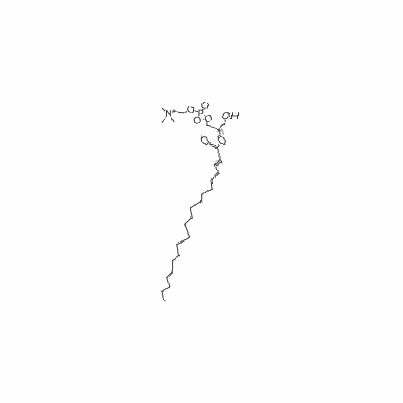 CCCCCCCCCCCCCCCCCC=CC(=O)O[C@H](CO)COP(=O)([O-])OCC[N+](C)(C)C